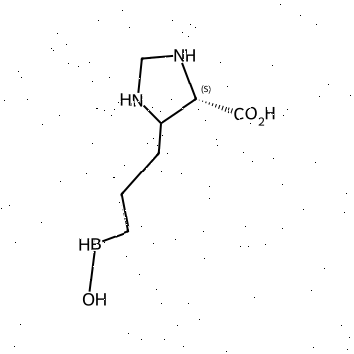 O=C(O)[C@H]1NCNC1CCCBO